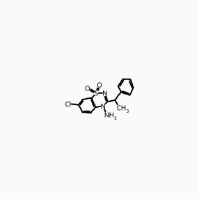 CC(C1=NS(=O)(=O)c2cc(Cl)ccc2N1N)c1ccccc1